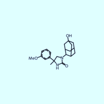 COc1cccc(C2(C)CN(C3C4CC5CC3CC(O)(C5)C4)C(=O)N2)c1